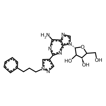 Nc1nc(-c2cnn(CCCc3ccccc3)c2)nc2c1ncn2[C@@H]1OC(CO)[C@@H](O)C1O